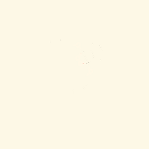 C=CCOC(=O)C1=C(C(=O)OCC=C)C2C=CC1C/C=C\C2